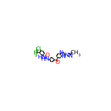 Cc1cn(-c2cnc3ccc(C(=O)c4ccc(NC(=O)Nc5ccc(Cl)c(C(F)(F)F)c5)cc4)cc3n2)cn1